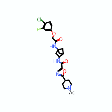 CC(=O)N1CCC(c2ncc(C(=O)NC3CC4(NC(=O)COc5ccc(Cl)c(F)c5)CC3C4)o2)CC1